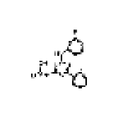 CCC(O)Nc1nc(Nc2ccnc(F)c2)nc(-c2ccccc2F)n1